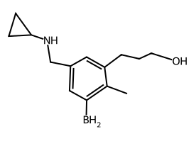 Bc1cc(CNC2CC2)cc(CCCO)c1C